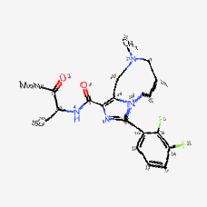 CNC(=O)[C@@H](NC(=O)c1nc(-c2cccc(F)c2F)n2c1CN(C)CCC2)C(C)(C)C